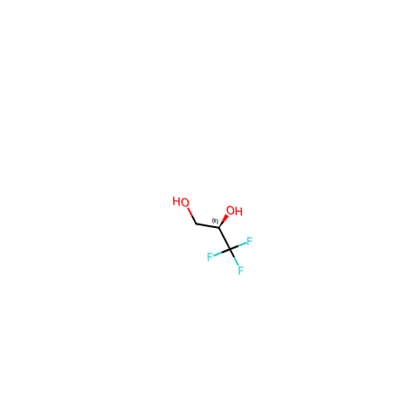 OC[C@@H](O)C(F)(F)F